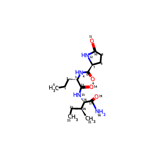 CCC[C@H](NC(=O)[C@@H]1CCC(=O)N1)C(=O)N[C@H](C(N)=O)[C@@H](C)CC